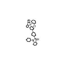 c1ccc(N2c3ccccc3NC2c2ccc(-c3ccc4c(c3)Oc3ccccc3C43c4ccccc4-c4ccccc43)cc2)cc1